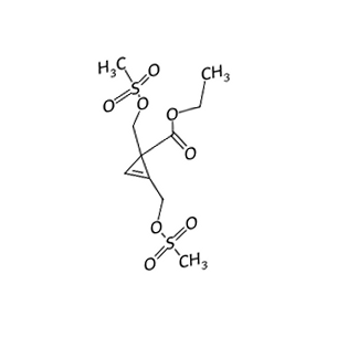 CCOC(=O)C1(COS(C)(=O)=O)C=C1COS(C)(=O)=O